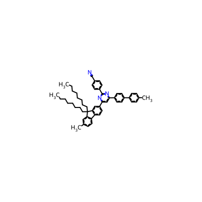 CCCCCCCCC1(CCCCCCCC)c2cc(C)ccc2-c2ccc(-c3cc(-c4ccc(-c5ccc(C)cc5)cc4)nc(-c4ccc(C#N)cc4)n3)cc21